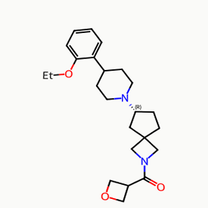 CCOc1ccccc1C1CCN([C@@H]2CCC3(C2)CN(C(=O)C2COC2)C3)CC1